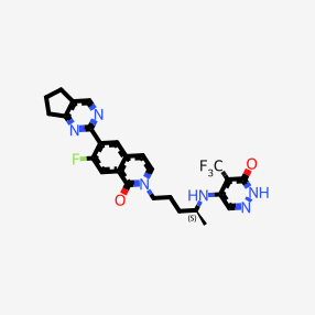 C[C@@H](CCCn1ccc2cc(-c3ncc4c(n3)CCC4)c(F)cc2c1=O)Nc1cn[nH]c(=O)c1C(F)(F)F